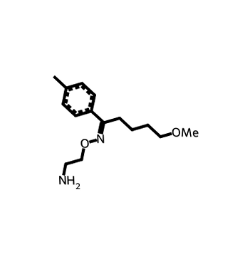 COCCCC/C(=N/OCCN)c1ccc(C)cc1